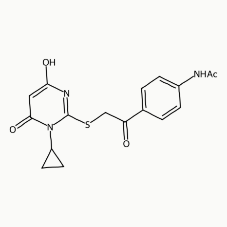 CC(=O)Nc1ccc(C(=O)CSc2nc(O)cc(=O)n2C2CC2)cc1